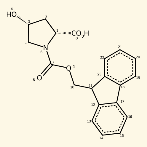 O=C(O)[C@H]1C[C@@H](O)CN1C(=O)OCC1c2ccccc2-c2ccccc21